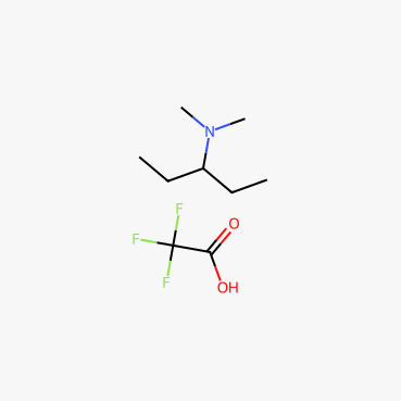 CCC(CC)N(C)C.O=C(O)C(F)(F)F